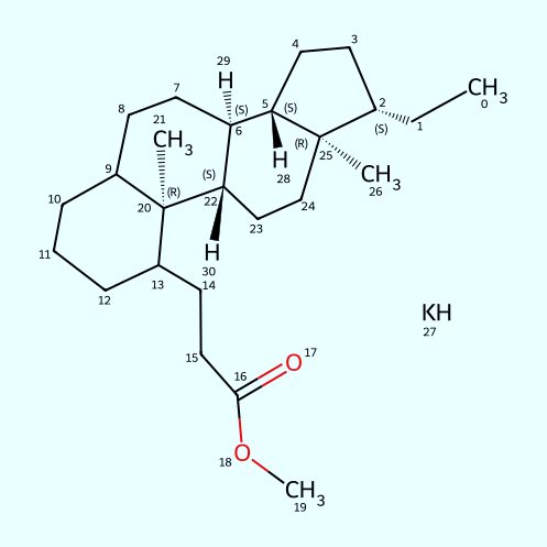 CC[C@H]1CC[C@H]2[C@@H]3CCC4CCCC(CCC(=O)OC)[C@]4(C)[C@H]3CC[C@]12C.[KH]